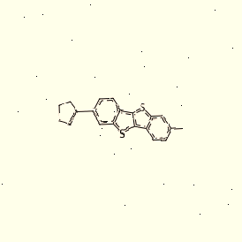 Cc1ccc2c(c1)sc1c3ccc(C4=CCCC4)cc3sc21